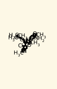 C[C@@H]1OCC2(CCN(c3nc4c(c(-c5ccc6nn(C)cc6c5Cl)cn4COCC[Si](C)(C)C)c(=O)n3C)CC2)[C@@H]1N